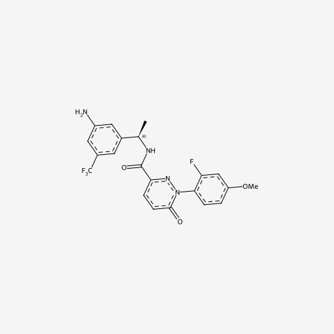 COc1ccc(-n2nc(C(=O)N[C@H](C)c3cc(N)cc(C(F)(F)F)c3)ccc2=O)c(F)c1